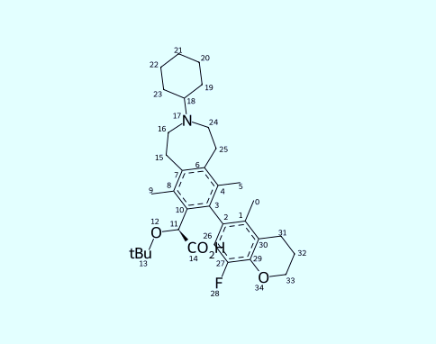 Cc1c(-c2c(C)c3c(c(C)c2[C@H](OC(C)(C)C)C(=O)O)CCN(C2CCCCC2)CC3)cc(F)c2c1CCCO2